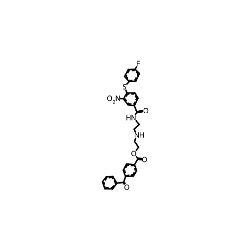 O=C(NCCNCCOC(=O)c1ccc(C(=O)c2ccccc2)cc1)c1ccc(Sc2ccc(F)cc2)c([N+](=O)[O-])c1